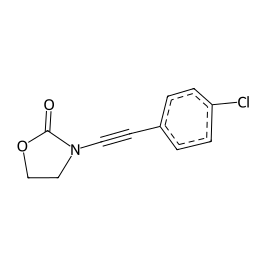 O=C1OCCN1C#Cc1ccc(Cl)cc1